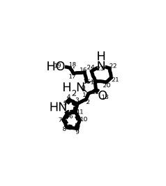 N[C@@H](Cc1c[nH]c2ccccc12)C(=O)[C@]1(CCC[CH]O)CCCNC1